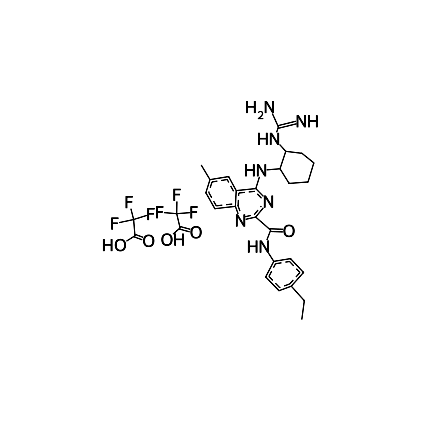 CCc1ccc(NC(=O)c2nc(NC3CCCCC3NC(=N)N)c3cc(C)ccc3n2)cc1.O=C(O)C(F)(F)F.O=C(O)C(F)(F)F